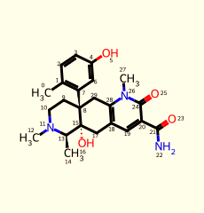 Cc1ccc(O)cc1[C@]12CCN(C)[C@H](C)[C@]1(O)Cc1cc(C(N)=O)c(=O)n(C)c1C2